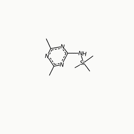 Cc1nc(C)nc(N[Si](C)(C)C)n1